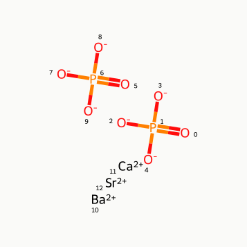 O=P([O-])([O-])[O-].O=P([O-])([O-])[O-].[Ba+2].[Ca+2].[Sr+2]